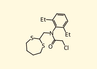 CCc1cccc(CC)c1N(CC1SCCCCS1)C(=O)CCl